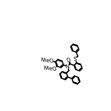 COc1ccc(N(Cc2ccccc2-c2ccccc2)C(=O)c2ccccc2SCc2ccccc2)cc1OC